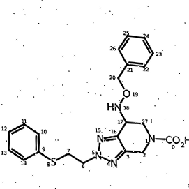 O=C(O)N1Cc2nn(CCSc3ccccc3)nc2C(NOCc2ccccc2)C1